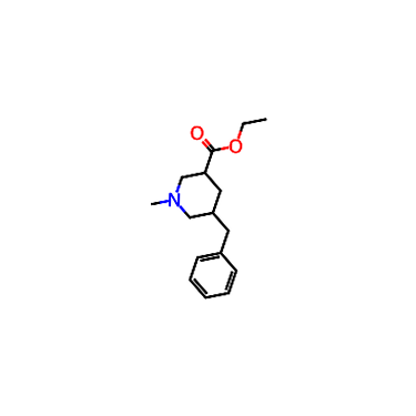 CCOC(=O)C1CC(Cc2ccccc2)CN(C)C1